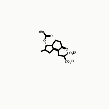 CCOC(=O)C(CC1=C2CC(C)[C@H](OC(=O)C(C)(C)C)C2CCC1=O)C(=O)OCC